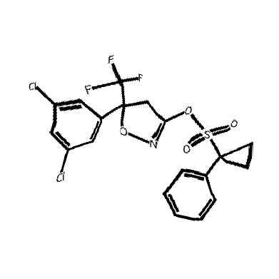 O=S(=O)(OC1=NOC(c2cc(Cl)cc(Cl)c2)(C(F)(F)F)C1)C1(c2ccccc2)CC1